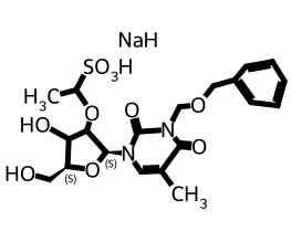 Cc1cn([C@H]2O[C@@H](CO)C(O)C2OC(C)S(=O)(=O)O)c(=O)n(COCc2ccccc2)c1=O.[NaH]